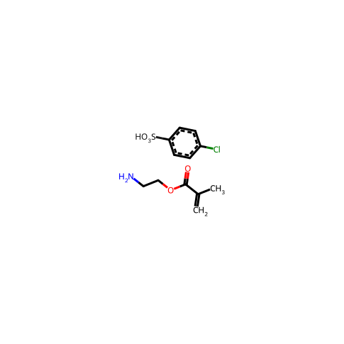 C=C(C)C(=O)OCCN.O=S(=O)(O)c1ccc(Cl)cc1